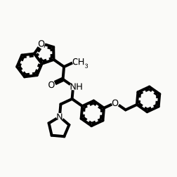 CC(C(=O)NC(CN1CCCC1)c1cccc(OCc2ccccc2)c1)c1coc2ccccc12